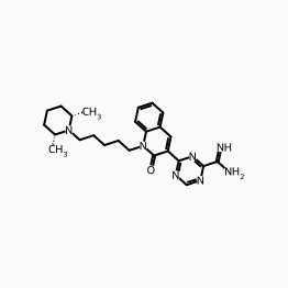 C[C@@H]1CCC[C@H](C)N1CCCCCn1c(=O)c(-c2ncnc(C(=N)N)n2)cc2ccccc21